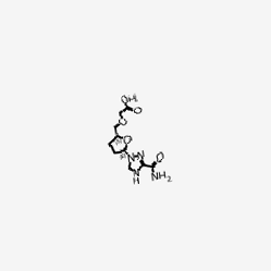 NC(=O)C1=NN([C@H]2CC[C@@H](COCC(=O)O)O2)CN1